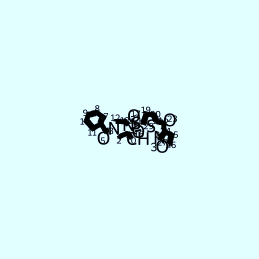 CC1CN(C(=O)c2ccccc2)CCN1S(=O)(=O)c1ccc(C(=O)c2ccon2)s1